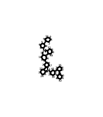 c1ccc(-c2cccc(N3Cc4ccc(-c5ccc6c(c5)c5ccccc5n6-c5cccc(-c6ccccc6-c6ccccc6)c5)cc4-c4ccccc43)c2)cc1